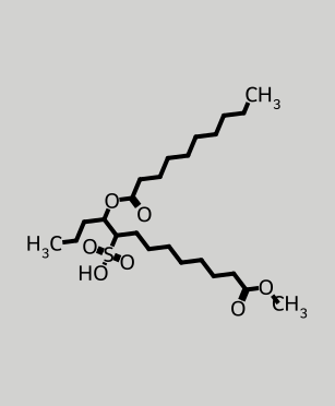 CCCCCCCCCC(=O)OC(CCC)C(CCCCCCCC(=O)OC)S(=O)(=O)O